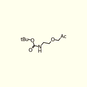 CC(=O)COCCNC(=O)OC(C)(C)C